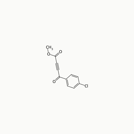 COC(=O)C#CC(=O)c1ccc(Cl)cc1